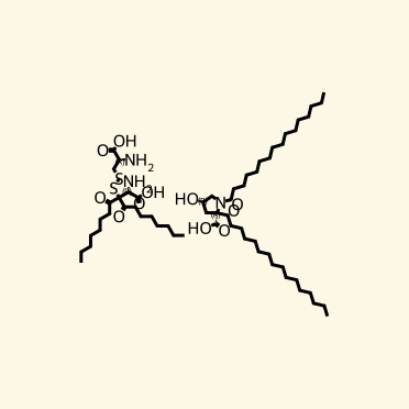 CCCCCCCC(=O)C(SSC[C@H](N)C(=O)O)(C(=O)CCCCCCC)[C@H](N)C(=O)O.CCCCCCCCCCCCCCCC(=O)N1C[C@H](O)C[C@]1(C(=O)O)C(=O)CCCCCCCCCCCCCCC